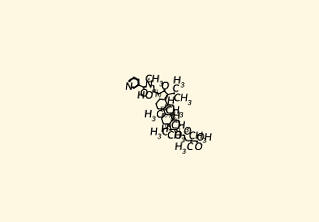 CC(C)C1=C2C(CC[C@]3(C)[C@@H]2CC[C@@H]2[C@@]4(C)CC[C@H](OC(=O)CC(C)(C)C(=O)O)C(C)(C)[C@H]4CC[C@]23C)[C@H]([C@@H](O)CN(C)C(=O)c2cccnc2)C1=O